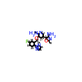 Cc1nc(N)c(-c2cnc(N)c(O[C@H](C)c3cc(F)ccc3-n3nccn3)c2)o1